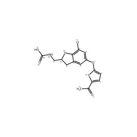 CC(=O)c1ccc(Oc2cc(Cl)c3c(c2)CC(CNC(=O)O)O3)s1